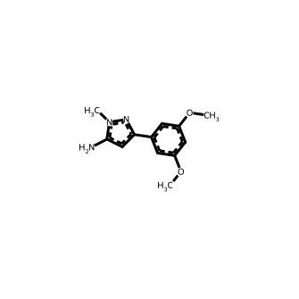 COc1cc(OC)cc(-c2cc(N)n(C)n2)c1